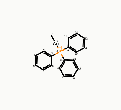 [CH3][Au][PH](c1ccccc1)(c1ccccc1)c1ccccc1